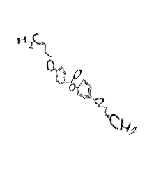 C=CCCOc1ccc(OC(=O)c2ccc(OCCC=C)cc2)cc1